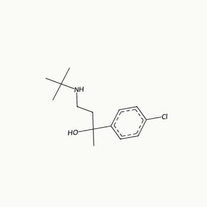 CC(C)(C)NCCC(C)(O)c1ccc(Cl)cc1